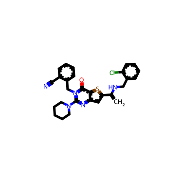 C=C(NCc1ccccc1Cl)c1cc2nc(N3CCCCC3)n(Cc3ccccc3C#N)c(=O)c2s1